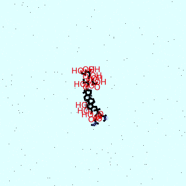 C/C=C(/C)C(=O)OC[C@H](OC(=O)/C(C)=C\C)C(C)(C)CC1C2=CCC3[C@@]4(C)CC[C@H](OC(OC(CO)C(=O)O)C(OC5OC(CO)C(O)C(O)C5O)C(C)O)C(C)(C)C4CC[C@@]3(C)[C@]2(C)[C@@H](O)[C@@H](O)C1CO